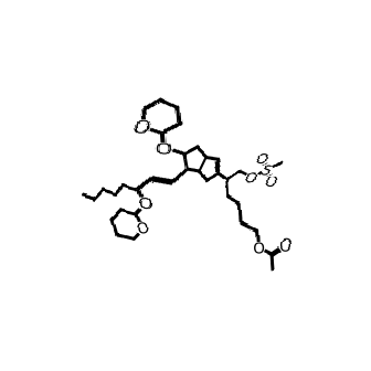 CCCCCC(C=CC1C(OC2CCCCO2)CC2C=C(C(CCCCOC(C)=O)COS(C)(=O)=O)CC21)OC1CCCCO1